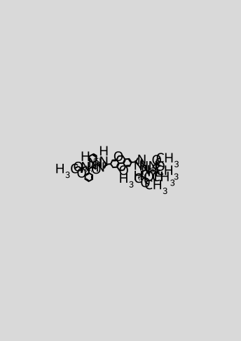 COC[C@@H](C)CN(CC1=NCC(c2cc3c4c(c2)OCC2=C4C(=CC(c4cnc([C@@H]5C#CCCN5C(=O)[C@H](NC(=O)OC)c5ccccc5)[nH]4)C2)OC3)N1)C(O)[C@@H](NC(=O)OC)C(C)C